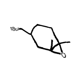 CC(C)(C)C1CCC2(C)OC2(C)C1